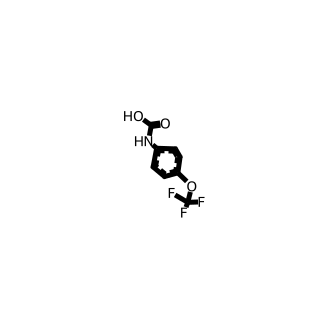 O=C(O)Nc1ccc(OC(F)(F)F)cc1